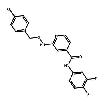 O=C(Nc1ccc(F)c(F)c1)c1ccnc(NSCc2ccc(Cl)cc2)c1